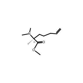 C=CCCC[C@@](C)(C(=O)OC)N(C)C